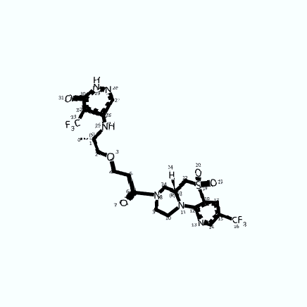 C[C@@H](COCCC(=O)N1CCN2c3ncc(C(F)(F)F)cc3S(=O)(=O)C[C@H]2C1)Nc1cn[nH]c(=O)c1C(F)(F)F